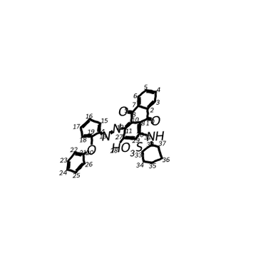 O=C1c2ccccc2C(=O)c2c(/N=N/c3ccccc3Oc3ccccc3)c(S(=O)(=O)O)cc(NC3CCCCC3)c21